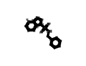 O=S(=O)(NCc1ccccc1)c1csc2ncccc12